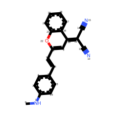 CNc1ccc(/C=C/C2=CC(=C(C#N)C#N)c3ccccc3O2)cc1